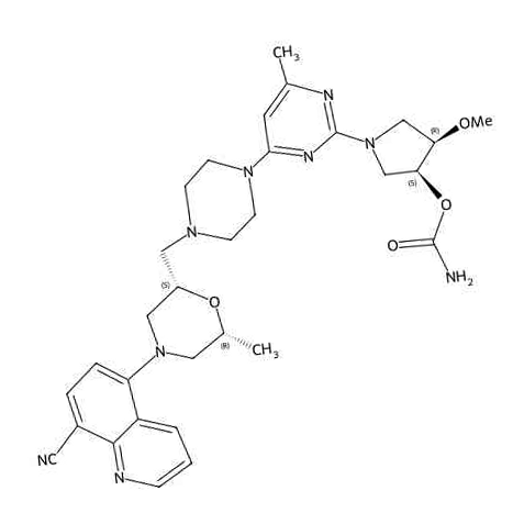 CO[C@@H]1CN(c2nc(C)cc(N3CCN(C[C@H]4CN(c5ccc(C#N)c6ncccc56)C[C@@H](C)O4)CC3)n2)C[C@@H]1OC(N)=O